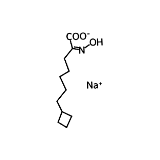 O=C([O-])C(CCCCCC1CCC1)=NO.[Na+]